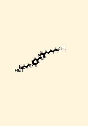 CCCCCCCc1cnc(-c2ccc(OCCCC(O)(F)F)cc2)nc1